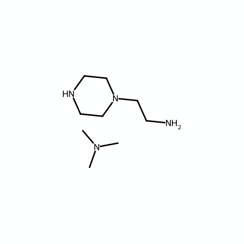 CN(C)C.NCCN1CCNCC1